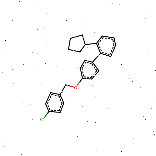 Clc1ccc(COc2ccc(-c3ccccc3C3CCCC3)cc2)cc1